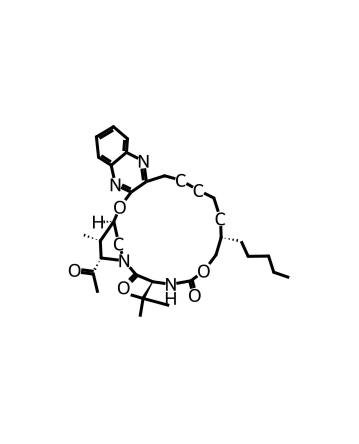 CCCCC[C@H]1CCCCCc2nc3ccccc3nc2O[C@H]2CN(C(=O)[C@H](C(C)(C)C)NC(=O)OC1)[C@H](C(C)=O)[C@@H]2C